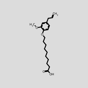 C=CCc1ccc(OCCCCCCCCCC(=O)O)c(OC)c1